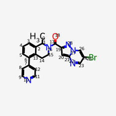 CC1c2cccc(-c3ccncc3)c2CCN1C(=O)c1cc2ncc(Br)cn2n1